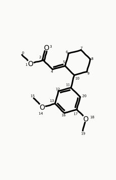 COC(=O)C=C1CCCCC1c1cc(OC)cc(OC)c1